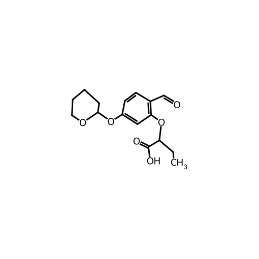 CCC(Oc1cc(OC2CCCCO2)ccc1C=O)C(=O)O